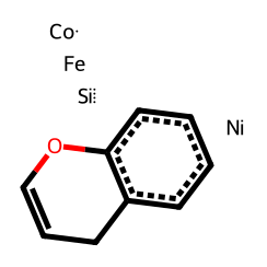 C1=COc2ccccc2C1.[Co].[Fe].[Ni].[Si]